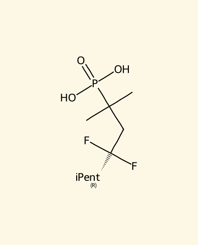 CCC[C@@H](C)C(F)(F)CC(C)(C)P(=O)(O)O